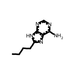 CCCCc1nc2c(N)ncnc2[nH]1